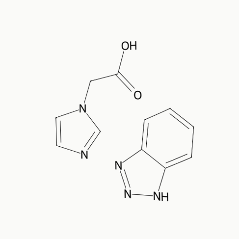 O=C(O)Cn1ccnc1.c1ccc2[nH]nnc2c1